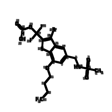 CS(=O)(=O)NCc1cc(OCCCC(F)(F)F)c2sc(C(F)(F)O[PH](=O)O)c(Br)c2c1